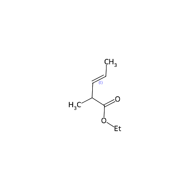 C/C=C/C(C)C(=O)OCC